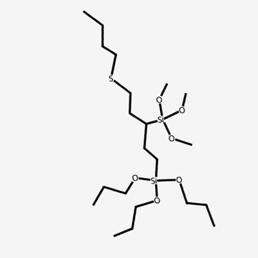 CCCCSCCC(CC[Si](OCCC)(OCCC)OCCC)[Si](OC)(OC)OC